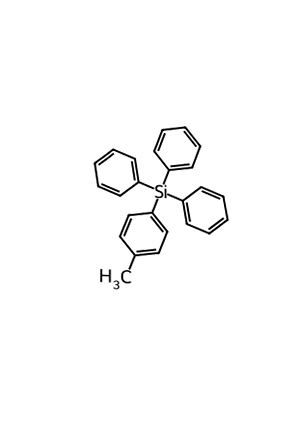 Cc1ccc([Si](c2ccccc2)(c2ccccc2)c2ccccc2)cc1